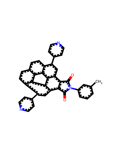 Cc1cccc(-n2c(=O)c3c4cc(-c5ccncc5)c5ccc6ccc7c(-c8ccncc8)cc(c3c2=O)c2c7c6c5c42)c1